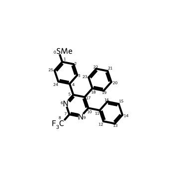 CSc1ccc(-c2nc(C(F)(F)F)nc(-c3ccccc3)c2-c2ccccc2)cc1